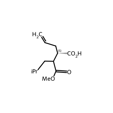 C=CC[C@H](C(=O)O)C(CC(C)C)C(=O)OC